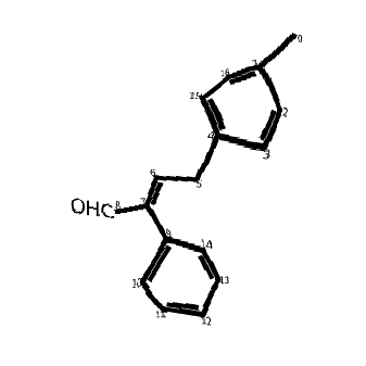 Cc1ccc(CC=C(C=O)c2ccccc2)cc1